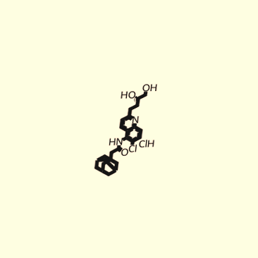 Cl.O=C(CC12CC3CC(CC(C3)C1)C2)Nc1c(Cl)ccc2nc(CC[C@@H](O)CO)ccc12